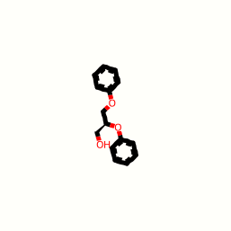 OC[C@@H](COc1ccccc1)Oc1ccccc1